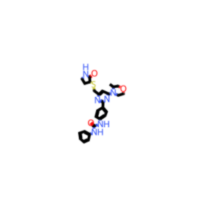 CC1COCCN1c1cc(CSC2CCNC2=O)nc(-c2ccc(NC(=O)Nc3ccccc3)cc2)n1